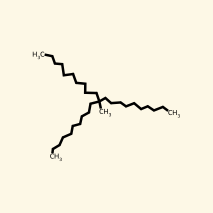 CCCCCCCCCCC(C)(CCCCCCCCCC)CCCCCCCCCC